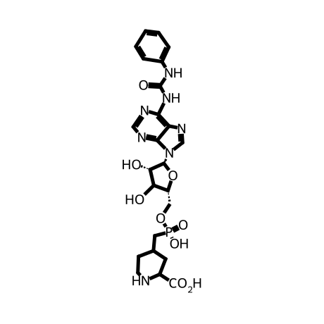 O=C(Nc1ccccc1)Nc1ncnc2c1ncn2[C@@H]1O[C@H](COP(=O)(O)CC2CCNC(C(=O)O)C2)C(O)[C@@H]1O